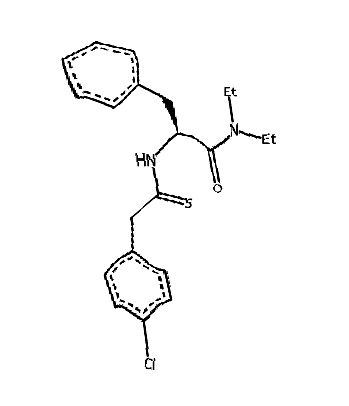 CCN(CC)C(=O)[C@H](Cc1ccccc1)NC(=S)Cc1ccc(Cl)cc1